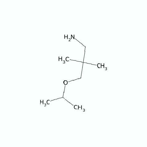 CC(C)OCC(C)(C)CN